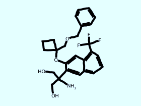 NC(CO)(CO)c1cc2cccc(C(F)(F)F)c2cc1OC1(COCc2ccccc2)CCC1